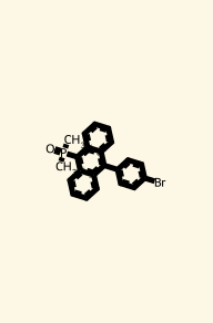 CP(C)(=O)c1c2ccccc2c(-c2ccc(Br)cc2)c2ccccc12